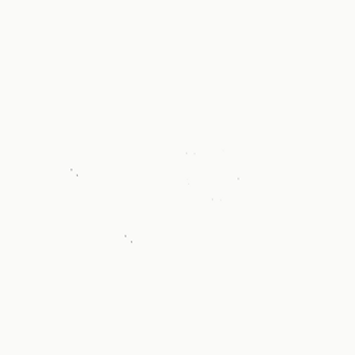 CC1(C)OB(c2cncc3c2OCCN3)OC1(C)C